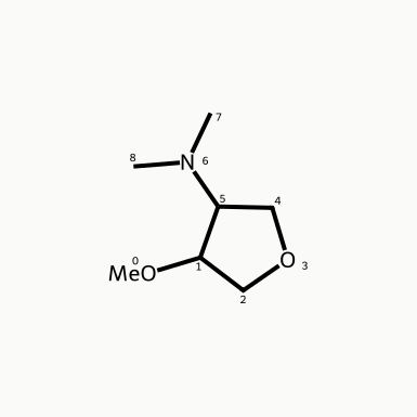 COC1COCC1N(C)C